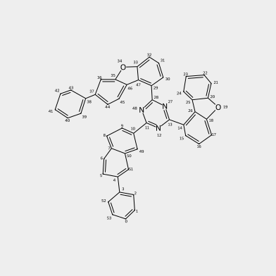 c1ccc(-c2ccc3ccc(-c4nc(-c5cccc6oc7ccccc7c56)nc(-c5cccc6oc7cc(-c8ccccc8)ccc7c56)n4)cc3c2)cc1